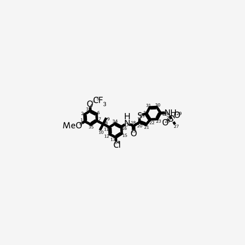 COc1cc(OC(F)(F)F)cc(C(C)(C)c2cc(Cl)cc(NC(=O)c3cc4cc(NS(C)(=O)=O)ccc4s3)c2)c1